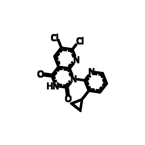 O=c1[nH]c(=O)n(-c2ncccc2C2CC2)c2nc(Cl)c(Cl)cc12